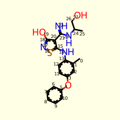 Cc1cc(Oc2ccccc2)ccc1Nc1snc(O)c1C(=N)NC(C)CO